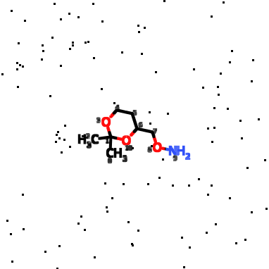 CC1(C)OCCC(CON)O1